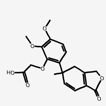 COc1ccc(C2(C)C=CC3=C(COC3=O)C2)c(OCC(=O)O)c1OC